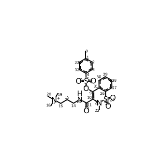 Cc1ccc(S(=O)(=O)OC2=C(C(=O)NCCC[N+](C)(C)C)N(C)S(=O)(=O)c3ccccc32)cc1